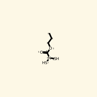 CCCOC(=O)N(S)S